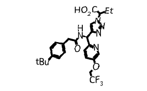 CCC(C(=O)O)n1cc([C@H](NC(=O)Cc2ccc(C(C)(C)C)cc2)c2ccc(OCC(F)(F)F)cn2)nn1